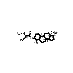 CC(=O)N[C@@H](CS)C(=O)Oc1ccc2c(c1O)CC[C@@H]1[C@@H]2CC[C@]2(C)[C@@H](O)CC[C@@H]12